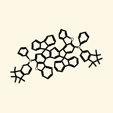 CC1(C)C2=C(CC(N(c3ccccc3)c3cc4c(c5c3oc3ccccc35)-c3cc5c(cc3C43c4ccccc4-c4ccccc43)-c3c(cc(N(c4ccccc4)c4ccc6c(c4)C(C)(C)C(C)(C)C6(C)C)c4oc6ccccc6c34)C53c4ccccc4-c4ccccc43)C=C2)C(C)(C)C1(C)C